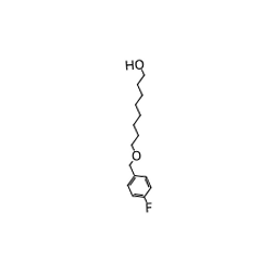 OCCCCCCCCOCc1ccc(F)cc1